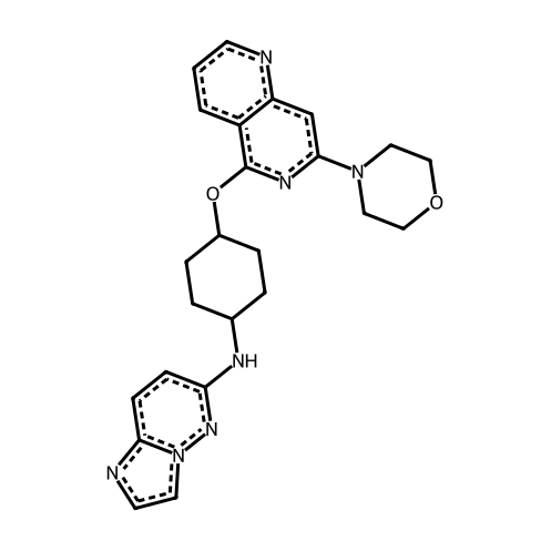 c1cnc2cc(N3CCOCC3)nc(OC3CCC(Nc4ccc5nccn5n4)CC3)c2c1